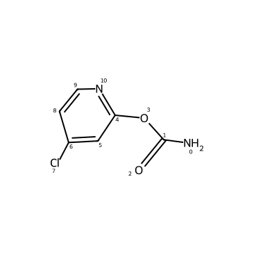 NC(=O)Oc1cc(Cl)ccn1